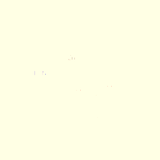 N[CH2][Zn][c]1ccccc1.O=[PH](O)O